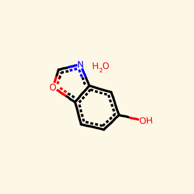 O.Oc1ccc2ocnc2c1